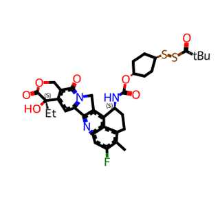 CC[C@@]1(O)C(=O)OCc2c1cc1n(c2=O)Cc2c-1nc1cc(F)c(C)c3c1c2[C@@H](NC(=O)O[C@H]1CC[C@H](SSC(=O)C(C)(C)C)CC1)CC3